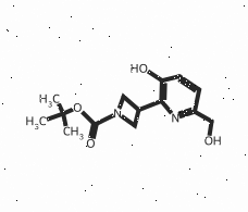 CC(C)(C)OC(=O)N1CC(c2nc(CO)ccc2O)C1